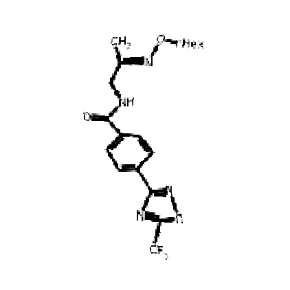 CCCCCCON=C(C)CNC(=O)c1ccc(-c2noc(C(F)(F)F)n2)cc1